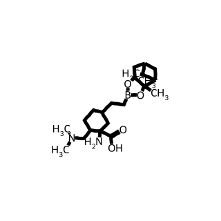 CN(C)CC1CCC(CCB2OC3CC4CC(C4(C)C)C3(C)O2)CC1(N)C(=O)O